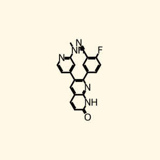 CNc1cc(-c2cc3ccc(=O)[nH]c3nc2-c2ccc(F)c(C#N)c2)ccn1